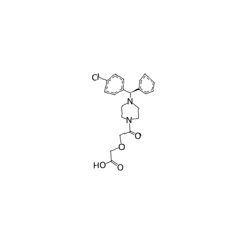 O=C(O)COCC(=O)N1CCN([C@H](c2ccccc2)c2ccc(Cl)cc2)CC1